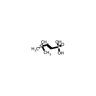 C[Si](C)(C)C=CP(=O)(O)O